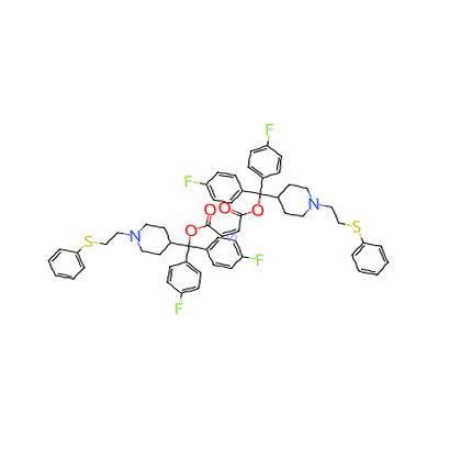 O=C(/C=C\C(=O)OC(c1ccc(F)cc1)(c1ccc(F)cc1)C1CCN(CCSc2ccccc2)CC1)OC(c1ccc(F)cc1)(c1ccc(F)cc1)C1CCN(CCSc2ccccc2)CC1